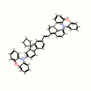 C1=CC2=C(/C=C/c3ccc4c(c3)C3(CCCC3)C3C=C(N5c6ccccc6Oc6ccccc65)C=CC43)C=CCC2C(N2c3ccccc3Oc3ccccc32)=C1